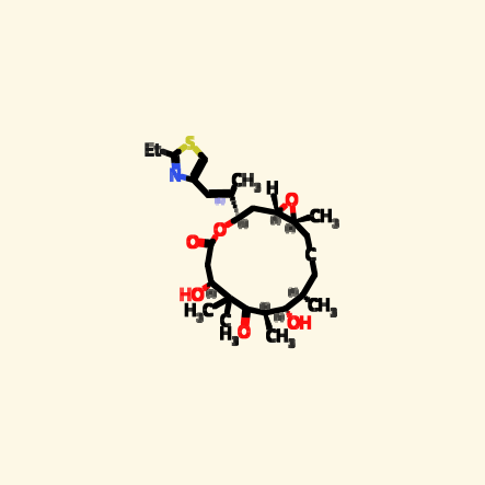 CCc1nc(/C=C(\C)[C@@H]2C[C@@H]3O[C@]3(C)CCC[C@H](C)[C@H](O)[C@@H](C)C(=O)C(C)(C)[C@@H](O)CC(=O)O2)cs1